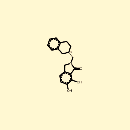 O=C1c2c(ccc(O)c2O)CN1C[C@H]1CCc2ccccc2C1